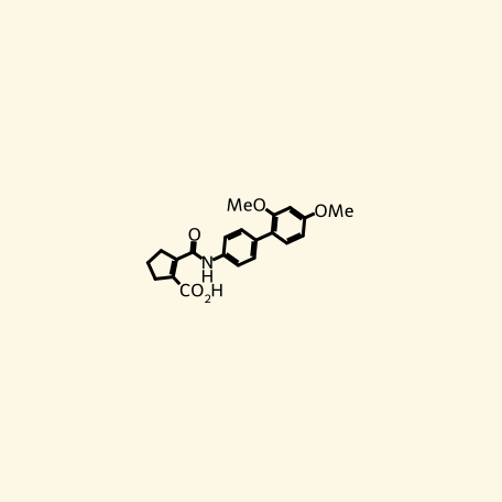 COc1ccc(-c2ccc(NC(=O)C3=C(C(=O)O)CCC3)cc2)c(OC)c1